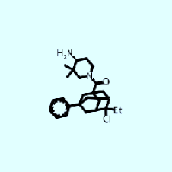 CCC1(Cl)C2CC3(C(=O)N4CC[C@H](N)C(C)(C)C4)CC1CC(c1ccccc1)(C2)C3